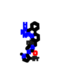 CCCCc1cn(-c2c(C(C)C)ccn2C)c(=O)n1Cc1ccc(-c2ccccc2-c2nnn[nH]2)nc1